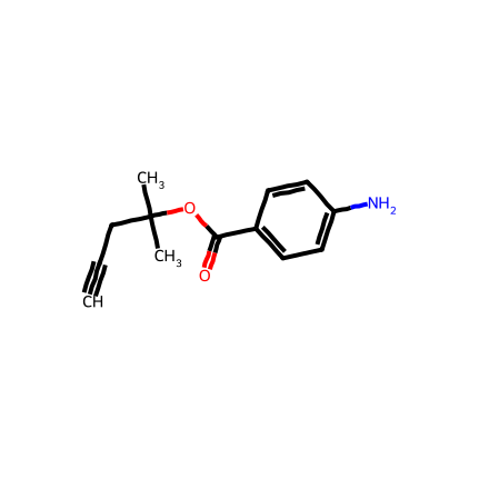 C#CCC(C)(C)OC(=O)c1ccc(N)cc1